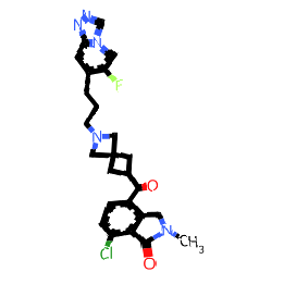 CN1Cc2c(C(=O)C3CC4(C3)CN(CCCc3cc5nncn5cc3F)C4)ccc(Cl)c2C1=O